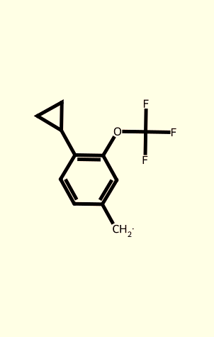 [CH2]c1ccc(C2CC2)c(OC(F)(F)F)c1